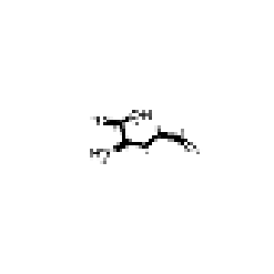 C=C(CC=C=O)C(=O)O